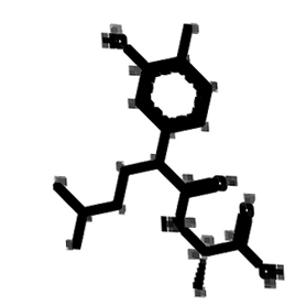 Cc1ccc(C(CCC(C)C)C(=O)N[C@@H](C)C(=O)O)cc1O